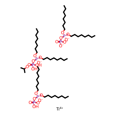 CC(C)[O-].CCCCCCCCO[P+]([O-])(OCCCCCCCC)OP(=O)(O)O.CCCCCCCCO[P+]([O-])(OCCCCCCCC)OP(=O)([O-])O.CCCCCCCCO[P+]([O-])(OCCCCCCCC)OP(=O)([O-])[O-].[Ti+4]